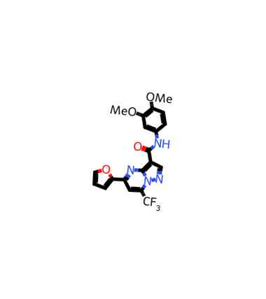 COc1ccc(NC(=O)c2cnn3c(C(F)(F)F)cc(-c4ccco4)nc23)cc1OC